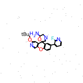 CC(C)(C)COc1cc2c(cn1)Oc1ccc(-c3cccnc3F)cc1[C@@]21C=NCC(N)O1